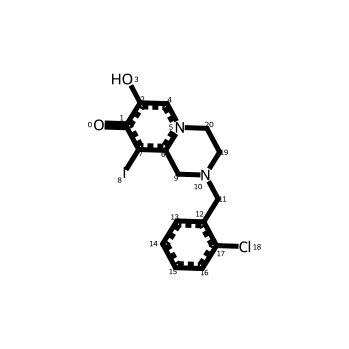 O=c1c(O)cn2c(c1I)CN(Cc1ccccc1Cl)CC2